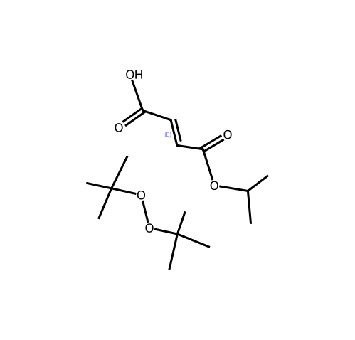 CC(C)(C)OOC(C)(C)C.CC(C)OC(=O)/C=C/C(=O)O